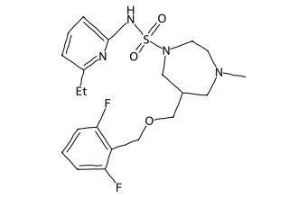 CCc1cccc(NS(=O)(=O)N2CCN(C)CC(COCc3c(F)cccc3F)C2)n1